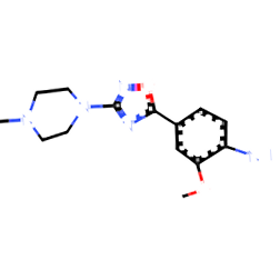 COc1cc(-c2nc(N3CCN(C)CC3)no2)ccc1N